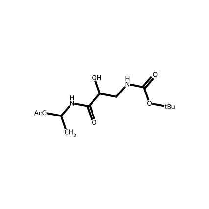 CC(=O)OC(C)NC(=O)C(O)CNC(=O)OC(C)(C)C